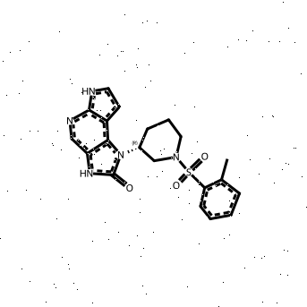 Cc1ccccc1S(=O)(=O)N1CCC[C@@H](n2c(=O)[nH]c3cnc4[nH]ccc4c32)C1